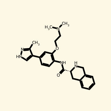 Cc1n[nH]cc1-c1ccc(NC(=O)[C@H]2Cc3ccccc3CN2)c(OCCN(C)C)c1